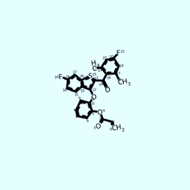 C=CC(=O)Oc1ccccc1Oc1c(C(=O)c2c(C)cc(F)cc2C)sc2cc(F)ccc12